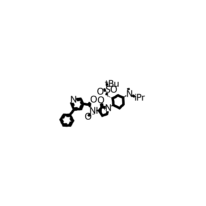 CC(C)N(C)[C@@H]1CC[C@H](N2CC[C@H]([NH+]([O-])C(=O)c3cncc(-c4ccccc4)c3)C2=O)[C@H](CS(=O)(=O)C(C)(C)C)C1